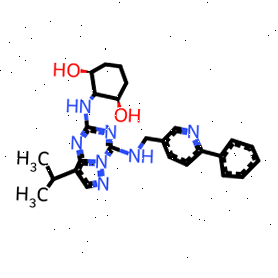 CC(C)c1cnn2c(NCc3ccc(-c4ccccc4)nc3)nc(NC3[C@H](O)CCC[C@@H]3O)nc12